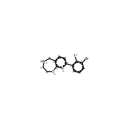 Fc1c(Br)cccc1-c1ccc2c(n1)OCCNC2